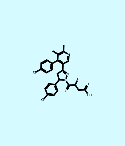 Cc1ncc(C2=NN(C(=O)C(F)CC(=O)O)C(c3ccc(Cl)cc3)C2)c(-c2ccc(Cl)cc2)c1C